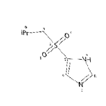 CC(C)CS(=O)(=O)c1cnc[nH]1